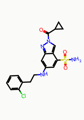 NS(=O)(=O)c1cc(NCCc2ccccc2Cl)cc2nn(C(=O)C3CC3)cc12